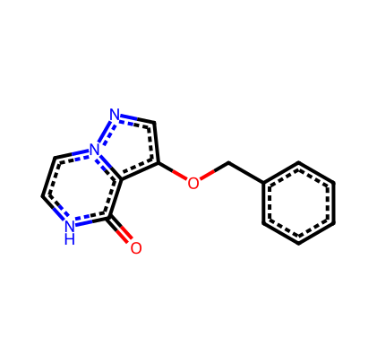 O=c1[nH]ccn2ncc(OCc3ccccc3)c12